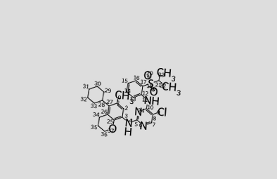 Cc1cc(Nc2ncc(Cl)c(Nc3ccccc3S(=O)(=O)C(C)C)n2)c2c(c1C1CCCCC1)CCCO2